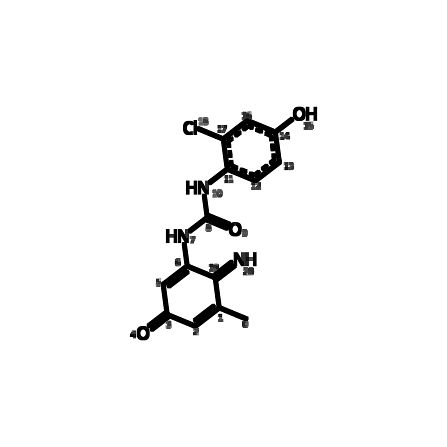 CC1=CC(=O)C=C(NC(=O)Nc2ccc(O)cc2Cl)C1=N